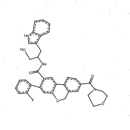 O=C(NC(CO)Cc1c[nH]c2ccccc12)c1cc2c(cc1-c1ccccc1F)OCc1cc(C(=O)N3CCOCC3)ccc1-2